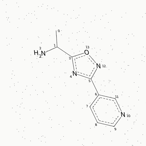 CC(N)c1nc(-c2cccnc2)no1